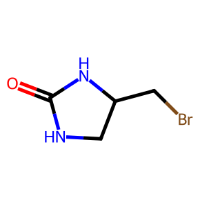 O=C1NCC(CBr)N1